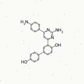 Nc1ccc(-c2cc(-c3cc(-c4ccc(O)cc4)ccc3O)nc(N)n2)cc1